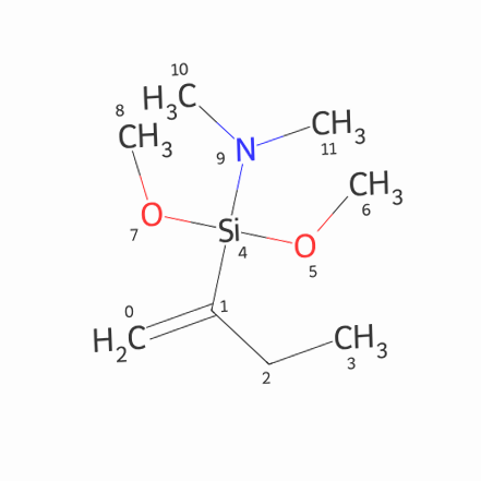 C=C(CC)[Si](OC)(OC)N(C)C